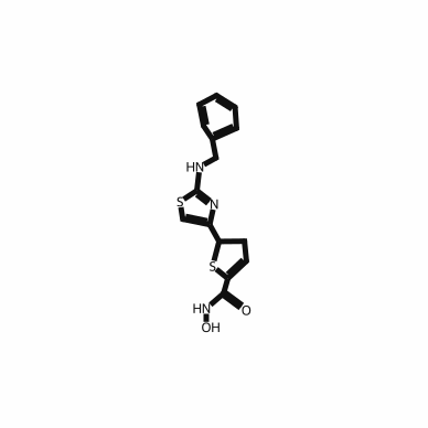 O=C(NO)C1=CCC(c2csc(NCc3ccccc3)n2)S1